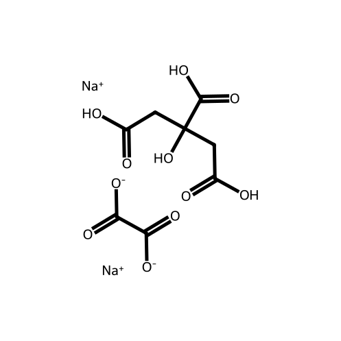 O=C(O)CC(O)(CC(=O)O)C(=O)O.O=C([O-])C(=O)[O-].[Na+].[Na+]